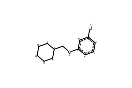 Clc1cc[c]c(OCC2CCCCC2)c1